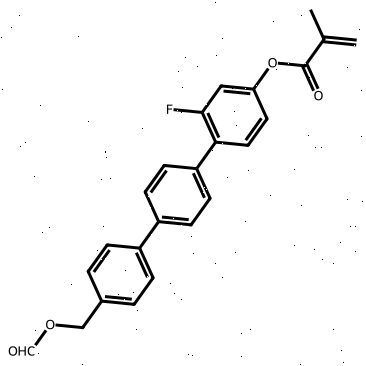 C=C(C)C(=O)Oc1ccc(-c2ccc(-c3ccc(COC=O)cc3)cc2)c(F)c1